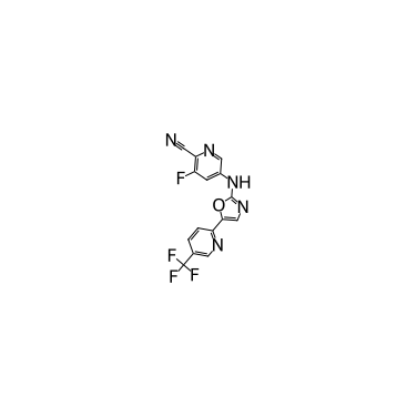 N#Cc1ncc(Nc2ncc(-c3ccc(C(F)(F)F)cn3)o2)cc1F